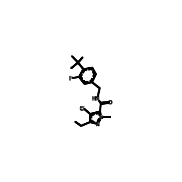 CCc1nn(C)c(C(=O)NCc2ccc(C(C)(C)C)c(F)c2)c1Cl